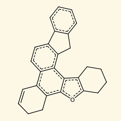 C1=Cc2c(c3oc4c(c3c3c5c(ccc23)-c2ccccc2C5)CCCC4)CC1